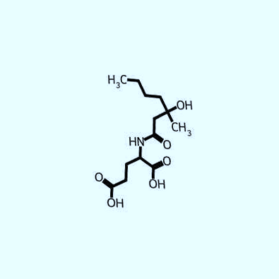 CCCCC(C)(O)CC(=O)NC(CCC(=O)O)C(=O)O